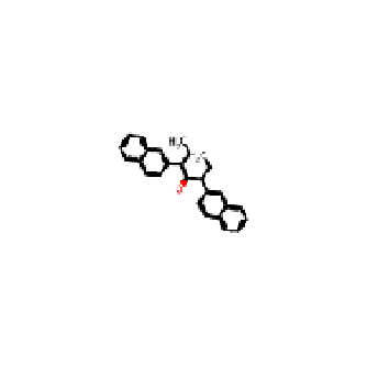 CCC(C(=O)C(CC)c1ccc2ccccc2c1)c1ccc2ccccc2c1